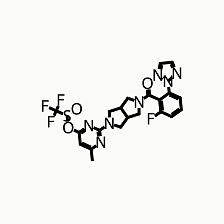 Cc1cc(OS(=O)C(F)(F)F)nc(N2CC3CN(C(=O)c4c(F)cccc4-n4nccn4)CC3C2)n1